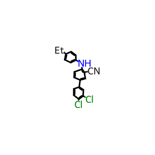 CCc1ccc(Nc2ccc(-c3ccc(Cl)c(Cl)c3)cc2C#N)cc1